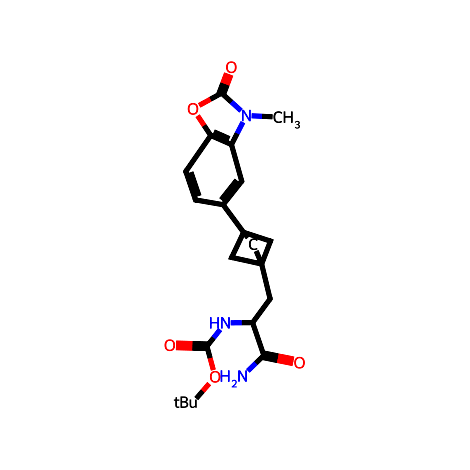 Cn1c(=O)oc2ccc(C34CC(CC(NC(=O)OC(C)(C)C)C(N)=O)(C3)C4)cc21